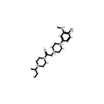 CCC(C)N1CCN(C(=O)CN2CCN(c3ccc(Br)c(OC)c3)CC2)CC1